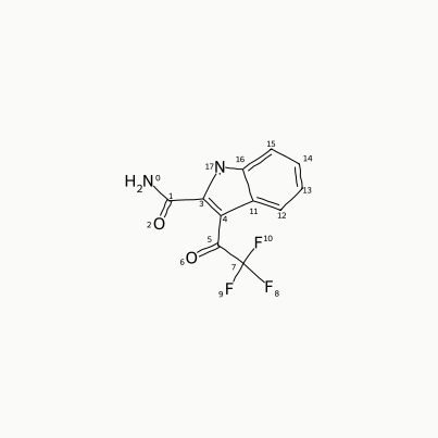 NC(=O)C1=C(C(=O)C(F)(F)F)c2ccccc2[N]1